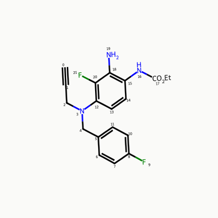 C#CCN(Cc1ccc(F)cc1)c1ccc(NC(=O)OCC)c(N)c1F